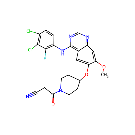 COc1cc2ncnc(Nc3ccc(Cl)c(Cl)c3F)c2cc1OC1CCN(C(=O)CC#N)CC1